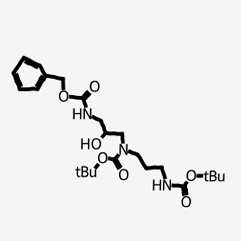 CC(C)(C)OC(=O)NCCCN(CC(O)CNC(=O)OCc1ccccc1)C(=O)OC(C)(C)C